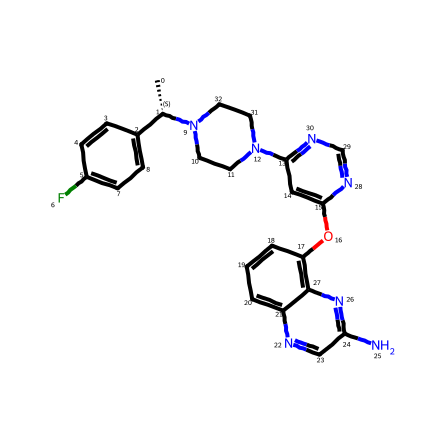 C[C@@H](c1ccc(F)cc1)N1CCN(c2cc(Oc3cccc4ncc(N)nc34)ncn2)CC1